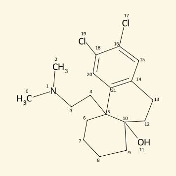 CN(C)CCC12CCCCC1(O)CCc1cc(Cl)c(Cl)cc12